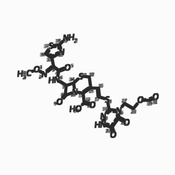 CON=C(C(=O)NC1C(=O)N2C(C(=O)O)=C(C=CSc3n[nH]c(=O)c(=O)n3CCOC=O)CSC12)c1csc(N)n1